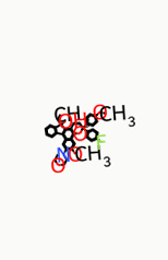 CCC1(O)c2ccccc2-c2c1c1c(c3cc(OC)c(N4CCOCC4)cc23)OC(c2ccc(F)cc2)(c2ccc(OC)cc2)C=C1